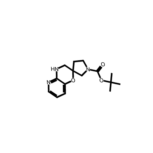 CC(C)(C)OC(=O)N1CCC2(CNc3ncccc3O2)C1